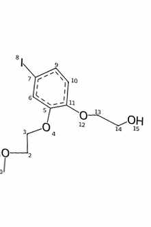 COCCOc1cc(I)ccc1OCCO